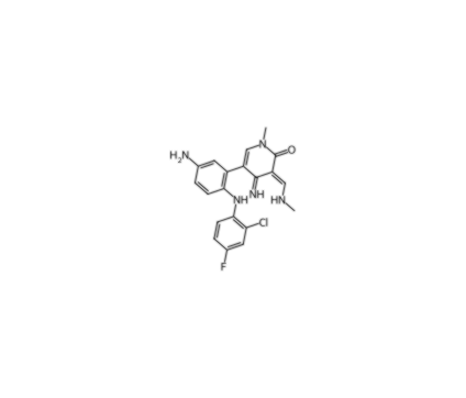 CN/C=C1\C(=N)C(c2cc(N)ccc2Nc2ccc(F)cc2Cl)=CN(C)C1=O